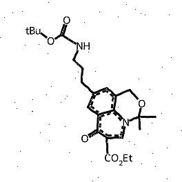 CCOC(=O)c1cn2c3c(cc(CCCNC(=O)OC(C)(C)C)cc3c1=O)COC2(C)C